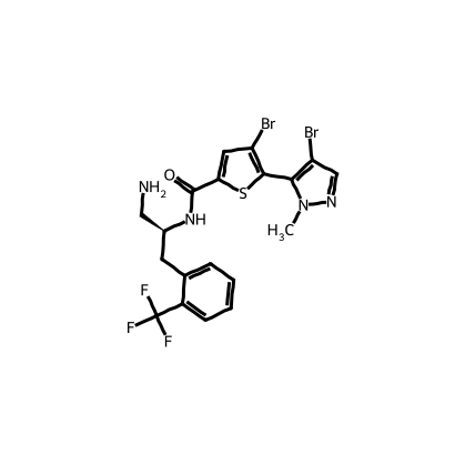 Cn1ncc(Br)c1-c1sc(C(=O)N[C@H](CN)Cc2ccccc2C(F)(F)F)cc1Br